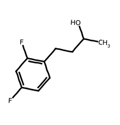 CC(O)CCc1ccc(F)cc1F